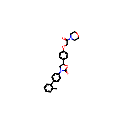 Cc1ccccc1-c1ccc(N2CC(c3ccc(OCC(=O)N4CCOCC4)cc3)OC2=O)cc1